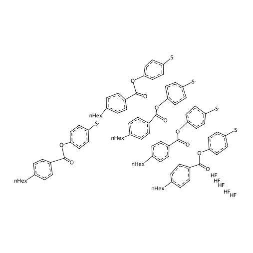 CCCCCCc1ccc(C(=O)Oc2ccc([S])cc2)cc1.CCCCCCc1ccc(C(=O)Oc2ccc([S])cc2)cc1.CCCCCCc1ccc(C(=O)Oc2ccc([S])cc2)cc1.CCCCCCc1ccc(C(=O)Oc2ccc([S])cc2)cc1.CCCCCCc1ccc(C(=O)Oc2ccc([S])cc2)cc1.F.F.F.F.F